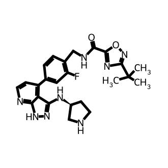 CC(C)(C)c1noc(C(=O)NCc2ccc(-c3ccnc4[nH]nc(N[C@H]5CCNC5)c34)cc2F)n1